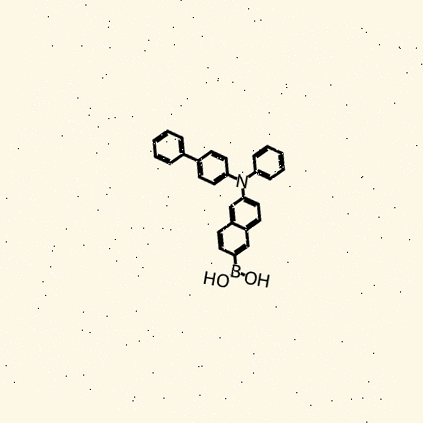 OB(O)c1ccc2cc(N(c3ccccc3)c3ccc(-c4ccccc4)cc3)ccc2c1